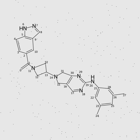 C=C(c1ccc2[nH]ncc2c1)N1CC(N2Cc3cnc(Nc4cc(C)cc(C)c4)nc3C2)C1